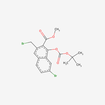 COC(=O)c1c(CBr)cc2ccc(Br)cc2c1OC(=O)OC(C)(C)C